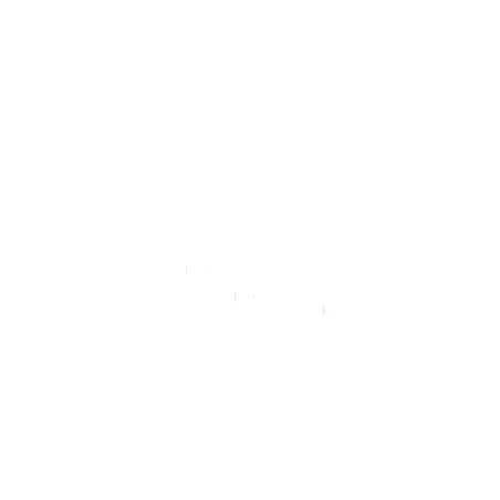 OC(CF)CC(O)CF